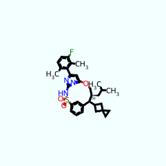 Cc1ccc(F)c(C)c1-c1cc2nc(n1)NS(=O)(=O)c1cccc(c1)C(C1CC3(CC3)C1)[C@H](CC(C)C)CO2